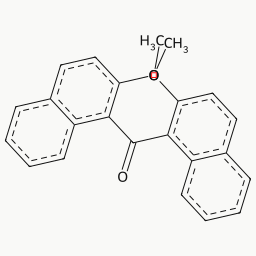 COc1ccc2ccccc2c1C(=O)c1c(OC)ccc2ccccc12